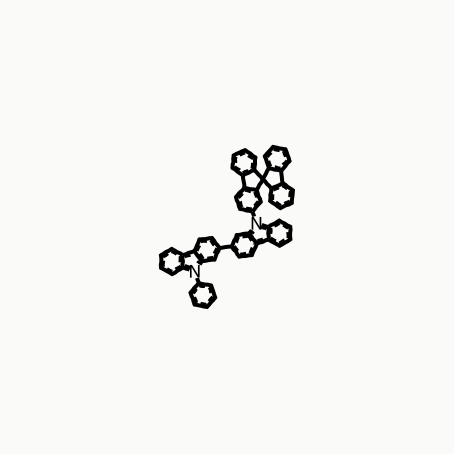 c1ccc(-n2c3ccccc3c3ccc(-c4ccc5c6ccccc6n(-c6ccc7c(c6)C6(c8ccccc8-c8ccccc86)c6ccccc6-7)c5c4)cc32)cc1